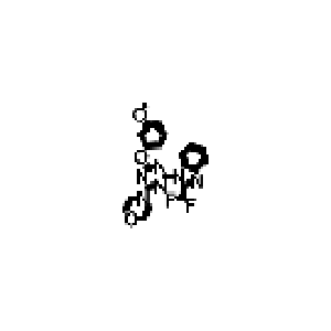 COc1cccc(Oc2nc(N3CCOCC3)nc(-n3c(C(F)F)nc4ccccc43)n2)c1